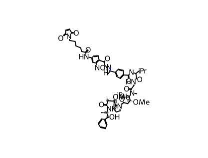 CCC(C)C([C@@H](CC(=O)N1CCC[C@H]1[C@H](OC)[C@@H](C)C(=O)N[C@H](C)[C@@H](O)c1ccccc1)OC)N(C)C(=O)CNC(=O)C(C(C)C)N(C)C(=O)c1ccc(/C(C)=N/NC(=O)c2ccc(NC(=O)CCCCCN3C(=O)C=CC3=O)cc2[N+](=O)[O-])cc1